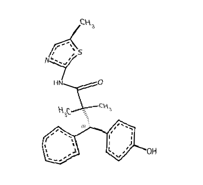 Cc1cnc(NC(=O)C(C)(C)[C@@H](c2ccccc2)c2ccc(O)cc2)s1